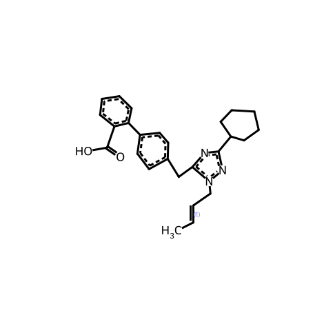 C/C=C/Cn1nc(C2CCCCC2)nc1Cc1ccc(-c2ccccc2C(=O)O)cc1